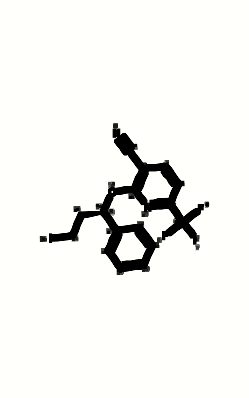 N#Cc1ccc(C(F)(F)F)nc1O[C@H](CCI)c1ccccc1